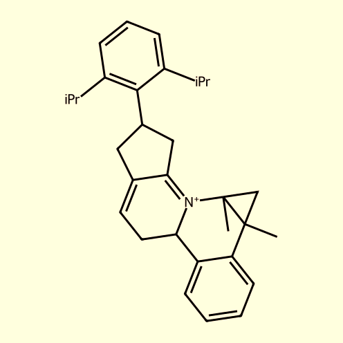 CC(C)c1cccc(C(C)C)c1C1CC2=CCC3c4ccccc4C4(C)CC4(C)[N+]3=C2C1